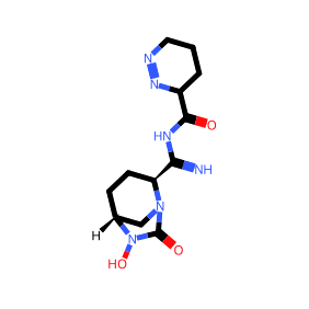 N=C(NC(=O)C1CCCN=N1)[C@@H]1CC[C@@H]2CN1C(=O)N2O